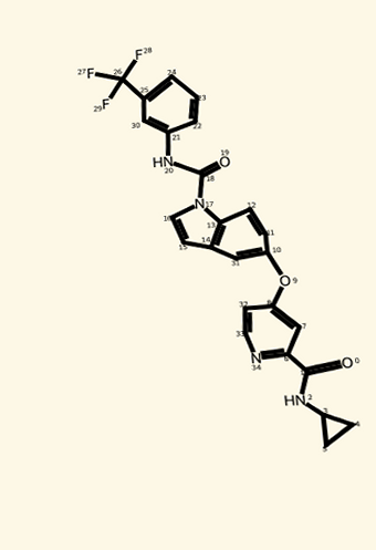 O=C(NC1CC1)c1cc(Oc2ccc3c(ccn3C(=O)Nc3cccc(C(F)(F)F)c3)c2)ccn1